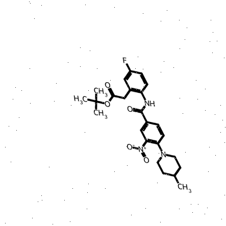 CC1CCN(c2ccc(C(=O)Nc3ccc(F)cc3CC(=O)OC(C)(C)C)cc2[N+](=O)[O-])CC1